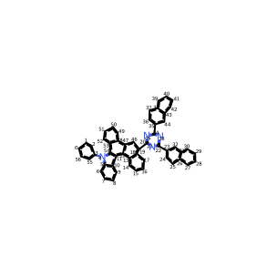 c1ccc(-n2c3ccccc3c3c4c5ccccc5c(-c5nc(-c6ccc7ccccc7c6)nc(-c6ccc7ccccc7c6)n5)cc4c4ccccc4c32)cc1